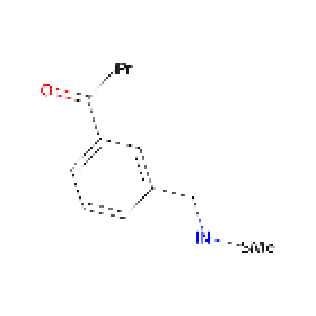 CSNCc1cccc(C(=O)C(C)C)c1